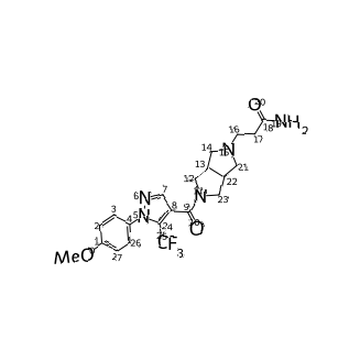 COc1ccc(-n2ncc(C(=O)N3CC4CN(CCC(N)=O)CC4C3)c2C(F)(F)F)cc1